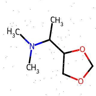 CC(C1COCO1)N(C)C